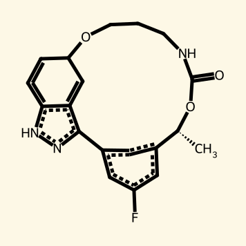 C[C@H]1OC(=O)NCCCOC2C=C=c3[nH]nc(c3=C2)-c2cc(F)cc1c2